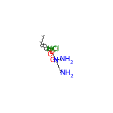 CC(C)CCCC(C)C1CCC2C3CC=C4CC(OC(=O)CCCC(=O)N(CCCCCCCC(C)(C)N)CCC(C)(C)N)CCC4(C)C3CCC12C.Cl.Cl